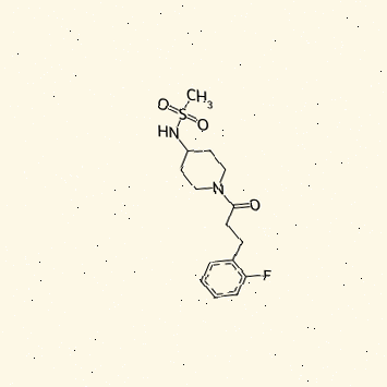 CS(=O)(=O)NC1CCN(C(=O)CCc2ccccc2F)CC1